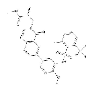 CNC(=O)[C@@H](C)Cn1cnc2ccc(-c3cnc(OC)c(NS(=O)(=O)c4c(F)cccc4C(F)(F)F)c3)cc2c1=O